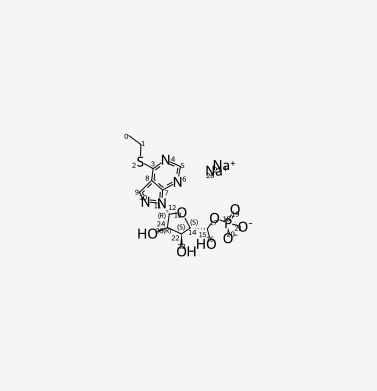 CCSc1ncnc2c1cnn2[C@@H]1O[C@H](C(O)OP(=O)([O-])[O-])[C@@H](O)[C@H]1O.[Na+].[Na+]